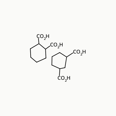 O=C(O)C1CCCC(C(=O)O)C1.O=C(O)C1CCCCC1C(=O)O